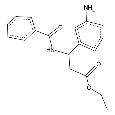 CCOC(=O)CC(NC(=O)c1ccccc1)c1cccc(N)c1